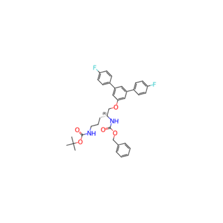 CC(C)(C)OC(=O)NCCC[C@H](COc1cc(-c2ccc(F)cc2)cc(-c2ccc(F)cc2)c1)NC(=O)OCc1ccccc1